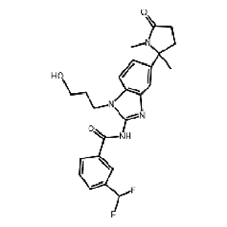 CN1C(=O)CCC1(C)c1ccc2c(c1)nc(NC(=O)c1cccc(C(F)F)c1)n2CCCO